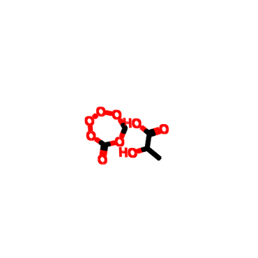 CC(O)C(=O)O.O=C1OCOOOO1